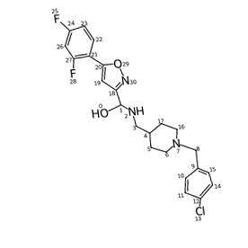 OC(NCC1CCN(Cc2ccc(Cl)cc2)CC1)c1cc(-c2ccc(F)cc2F)on1